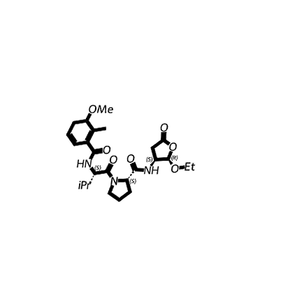 CCO[C@@H]1OC(=O)C[C@@H]1NC(=O)[C@@H]1CCCN1C(=O)[C@@H](NC(=O)C1=C(C)C(OC)CC=C1)C(C)C